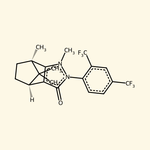 Cn1c2c(c(=O)n1-c1ccc(C(F)(F)F)cc1C(F)(F)F)[C@H]1CC[C@]2(C)C1(C)C